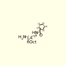 CCCCCCCCC(CN)CCCNC(=O)c1ccccc1